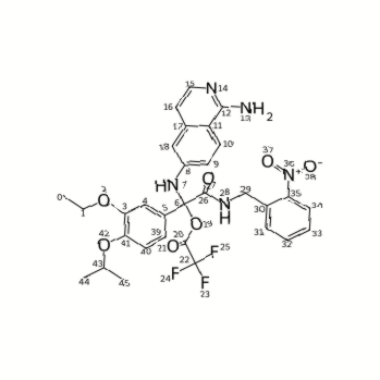 CCOc1cc(C(Nc2ccc3c(N)nccc3c2)(OC(=O)C(F)(F)F)C(=O)NCc2ccccc2[N+](=O)[O-])ccc1OC(C)C